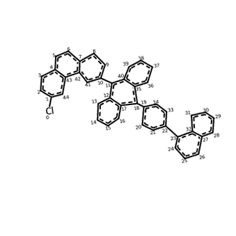 Clc1ccc2ccc3ccc(-c4c5ccccc5c(-c5ccc(-c6cccc7ccccc67)cc5)c5ccccc45)cc3c2c1